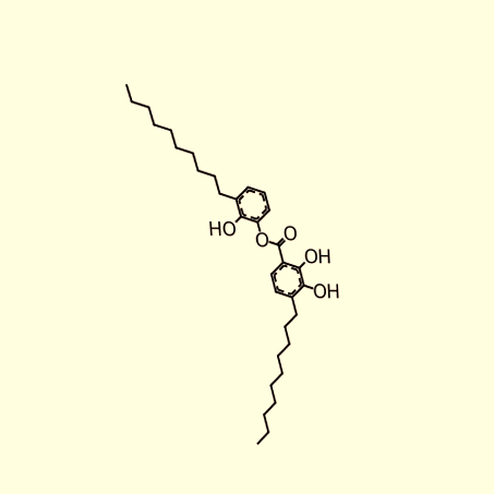 CCCCCCCCCCc1cccc(OC(=O)c2ccc(CCCCCCCCCC)c(O)c2O)c1O